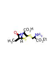 CC=C1C(=O)N2C(C(=O)O)=C(SCC(N)C(=O)OCC)S[C@H]12